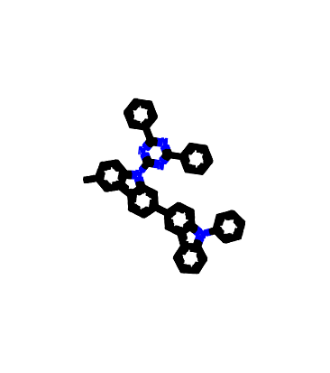 Cc1ccc2c(c1)c1ccc(-c3ccc4c(c3)c3ccccc3n4-c3ccccc3)cc1n2-c1nc(-c2ccccc2)nc(-c2ccccc2)n1